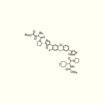 CC[C@H](C)[C@H](NC(=O)OC)C(=O)N1CCC[C@H]1c1ncc(-c2cc3c(cc2F)Cc2cc(-c4cnc([C@@H]5CCCN5C(=O)[C@@H](NC(=O)OC)C5CCOCC5)[nH]4)ccc2O3)[nH]1